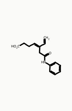 C=C/C(=C/CCC(=O)O)CC(=O)Nc1ccccc1